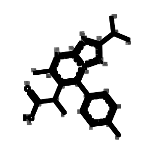 Cc1ccc(-c2c(C(C)C(=O)O)c(C)nc3nc(C(C)C)nn23)cc1